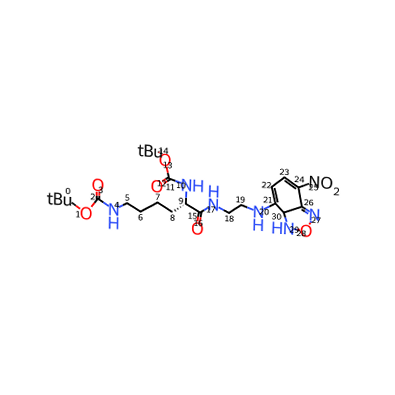 CC(C)(C)OC(=O)NCCCC[C@H](NC(=O)OC(C)(C)C)C(=O)NCCNC1=CC=C([N+](=O)[O-])C2=NONC12